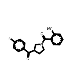 N#Cc1ccccc1C(=O)N1CCC(C(=O)c2ccc(F)cc2)C1